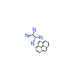 N#CC(C#N)=C(C#N)C#N.c1cc2ccc3cccc4ccc(c1)c2c34